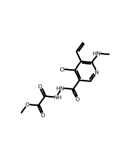 C=Cc1c(NC)ncc(C(=O)NNC(=O)C(=O)OC)c1Cl